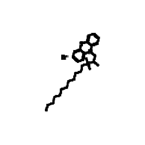 CCCCCCCCCCCC[N+](C)(C)C(C)CN1c2ccccc2Sc2ccccc21.[Br-]